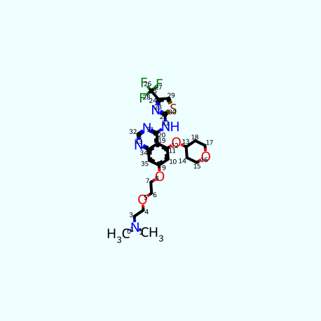 CN(C)CCOCCOc1cc(OC2CCOCC2)c2c(Nc3nc(C(F)(F)F)cs3)ncnc2c1